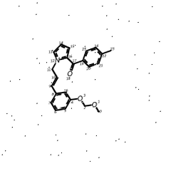 COCOc1cccc(C=CCn2cccc2C(=O)c2ccc(C)cc2)c1